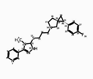 CN1C(c2cccnc2)=NNC1SCCCN1CC[C@]2(C[C@@H]2c2ccc(F)cc2)C1